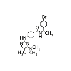 Cc1cnc(N[C@H]2CC[C@@H](C(=O)N[C@H](C)c3ccc(Br)cc3)CC2)nc1N(C)C